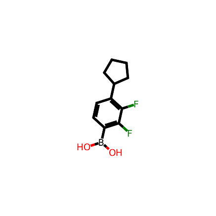 OB(O)c1ccc(C2CCCC2)c(F)c1F